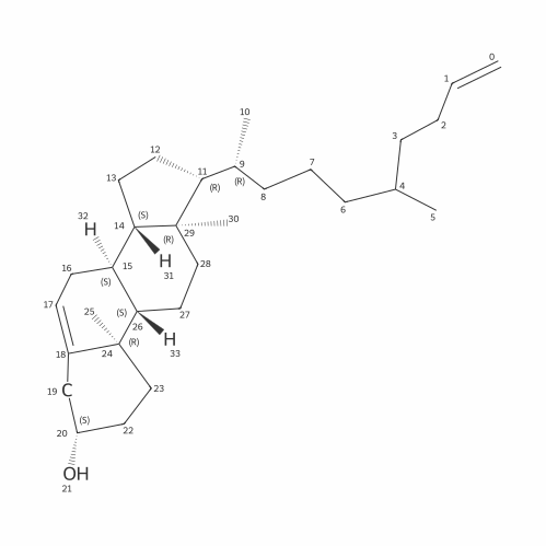 C=CCCC(C)CCC[C@@H](C)[C@H]1CC[C@H]2[C@@H]3CC=C4C[C@@H](O)CC[C@]4(C)[C@H]3CC[C@]12C